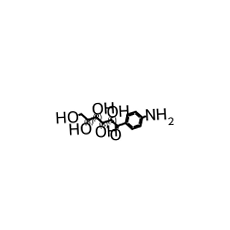 Nc1ccc(C(=O)[C@@H](O)[C@@H](O)[C@H](O)[C@H](O)CO)cc1